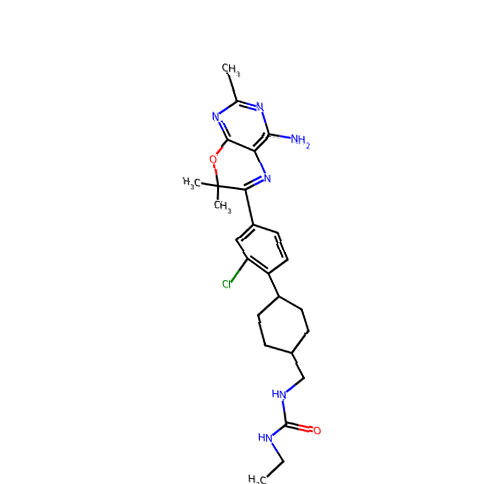 CCNC(=O)NCC1CCC(c2ccc(C3=Nc4c(N)nc(C)nc4OC3(C)C)cc2Cl)CC1